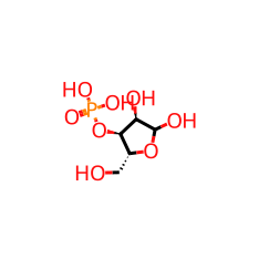 O=P(O)(O)O[C@@H]1[C@@H](CO)OC(O)[C@@H]1O